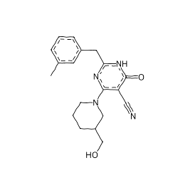 Cc1cccc(Cc2nc(N3CCCC(CO)C3)c(C#N)c(=O)[nH]2)c1